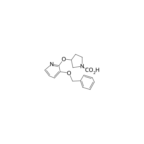 O=C(O)N1CCC(Oc2ncccc2OCc2ccccc2)C1